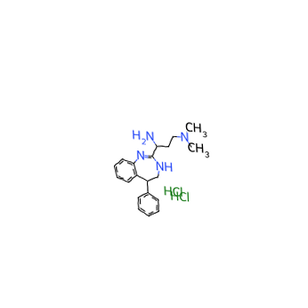 CN(C)CCC(N)C1=Nc2ccccc2C(c2ccccc2)CN1.Cl.Cl